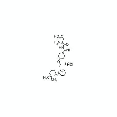 CC1(C)CCC[C@@H](N2CCCC[C@H]2CCOC2CCN(C(=N)NC(=O)[C@@H](N)CC(=O)O)CC2)C1.Cl.Cl